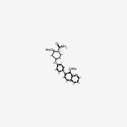 COc1c(-c2ccc(OC3CCN(C(N)=O)C(OC)C3)cc2)ccc2cccnc12